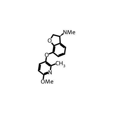 CN[C@@H]1COc2c(Oc3ccc(OC)nc3C)cccc21